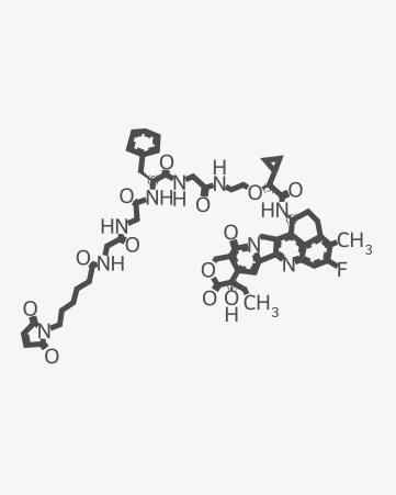 CC[C@@]1(O)C(=O)OCc2c1cc1n(c2=O)Cc2c-1nc1cc(F)c(C)c3c1c2[C@@H](NC(=O)[C@@H](OCCNC(=O)CNC(=O)[C@H](Cc1ccccc1)NC(=O)CNC(=O)CNC(=O)CCCCCN1C(=O)C=CC1=O)C1CC1)CC3